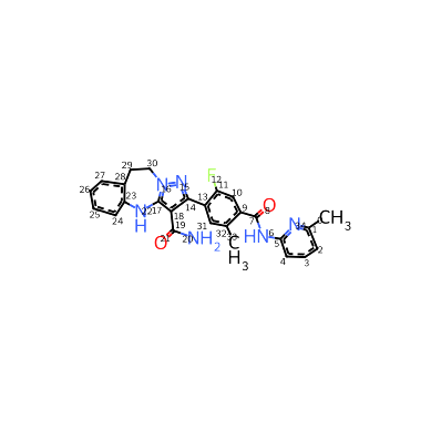 Cc1cccc(NC(=O)c2cc(F)c(-c3nn4c(c3C(N)=O)Nc3ccccc3CC4)cc2C)n1